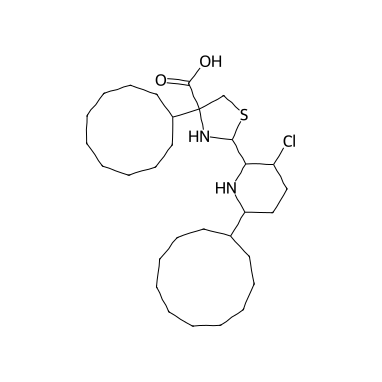 O=C(O)C1(C2CCCCCCCCC2)CSC(C2NC(C3CCCCCCCCCC3)CCC2Cl)N1